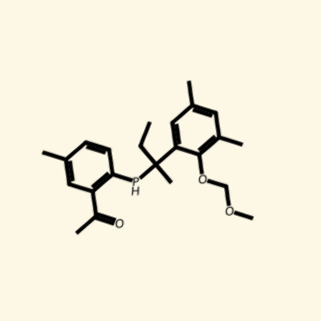 CCC(C)(Pc1ccc(C)cc1C(C)=O)c1cc(C)cc(C)c1OCOC